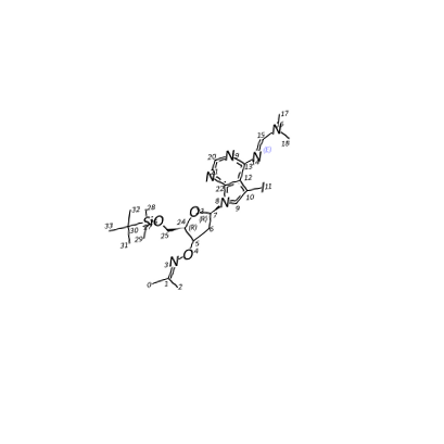 CC(C)=NOC1C[C@H](n2cc(I)c3c(/N=C/N(C)C)ncnc32)O[C@@H]1CO[Si](C)(C)C(C)(C)C